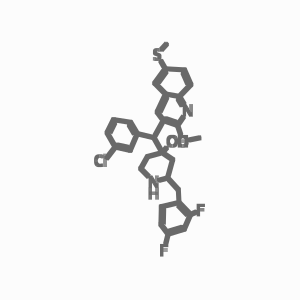 COc1nc2ccc(SC)cc2cc1C(c1cccc(Cl)c1)C1(O)CCNC(Cc2ccc(F)cc2F)C1